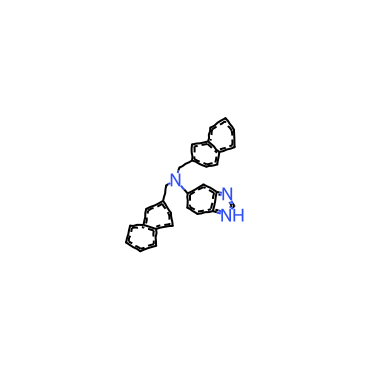 c1ccc2cc(CN(Cc3ccc4ccccc4c3)c3ccc4[nH]cnc4c3)ccc2c1